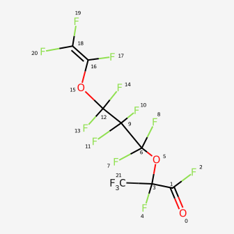 O=C(F)C(F)(OC(F)(F)C(F)(F)C(F)(F)OC(F)=C(F)F)C(F)(F)F